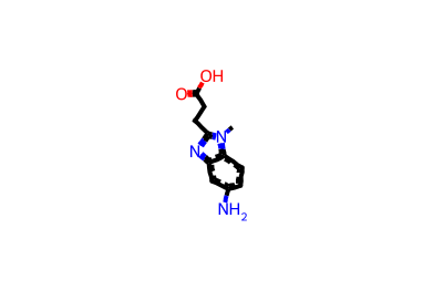 Cn1c(CCC(=O)O)nc2cc(N)ccc21